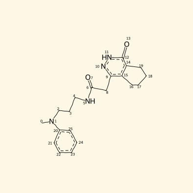 CN(CCCNC(=O)Cc1n[nH]c(=O)c2c1CCCC2)c1ccccc1